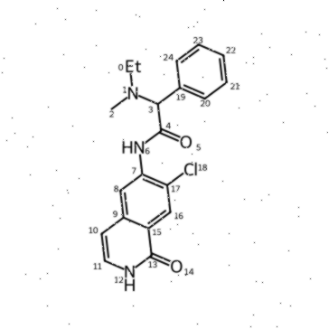 CCN(C)C(C(=O)Nc1cc2cc[nH]c(=O)c2cc1Cl)c1ccccc1